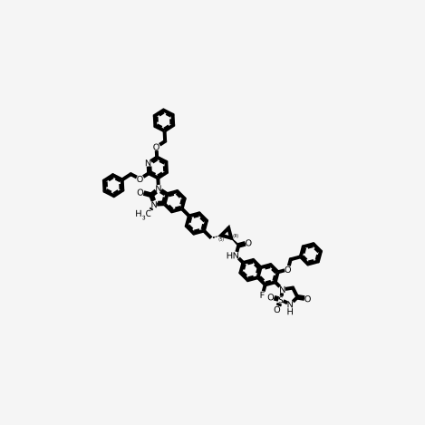 Cn1c(=O)n(-c2ccc(OCc3ccccc3)nc2OCc2ccccc2)c2ccc(-c3ccc(C[C@@H]4C[C@H]4C(=O)Nc4ccc5c(F)c(N6CC(=O)NS6(=O)=O)c(OCc6ccccc6)cc5c4)cc3)cc21